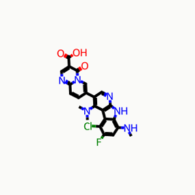 CNc1cc(F)c(Cl)c2c1[nH]c1ncc(-c3ccc4ncc(C(=O)O)c(=O)n4c3)c(N(C)C)c12